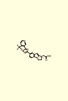 O=C(O)C[C@H]1CCn2c1cc1cc(-c3noc(-c4cnccc4C(F)(F)F)n3)ccc12